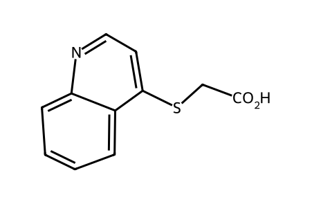 O=C(O)CSc1ccnc2ccccc12